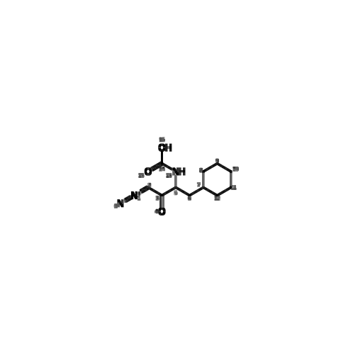 [N-]=[N+]=CC(=O)C(CC1CCCCC1)NC(=O)O